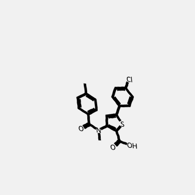 Cc1ccc(C(=O)N(C)c2cc(-c3ccc(Cl)cc3)sc2C(=O)O)cc1